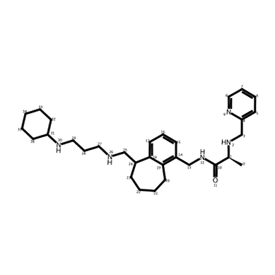 C[C@H](NCc1ccccn1)C(=O)NCc1cccc2c1CCCCC2CNCCCNC1CCCCC1